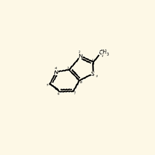 Cc1nc2ncc[c]c2s1